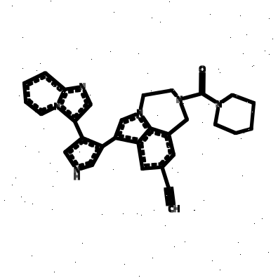 C#Cc1cc2c3c(c1)c(-c1c[nH]cc1-c1cnc4ccccn14)cn3CCN(C(=O)N1CCCCC1)C2